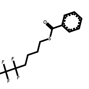 O=C(SCCCCC(F)(F)C(F)(F)F)c1ccccc1